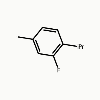 [CH2]c1ccc(C(C)C)c(F)c1